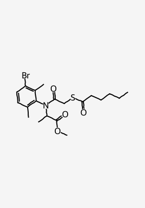 CCCCCC(=O)SCC(=O)N(c1c(C)ccc(Br)c1C)C(C)C(=O)OC